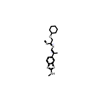 C=N/C(COC1CCCCC1)=N\C=C(/C)c1ccc2nc(NC)sc2c1